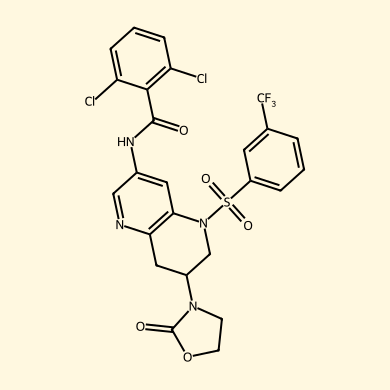 O=C(Nc1cnc2c(c1)N(S(=O)(=O)c1cccc(C(F)(F)F)c1)CC(N1CCOC1=O)C2)c1c(Cl)cccc1Cl